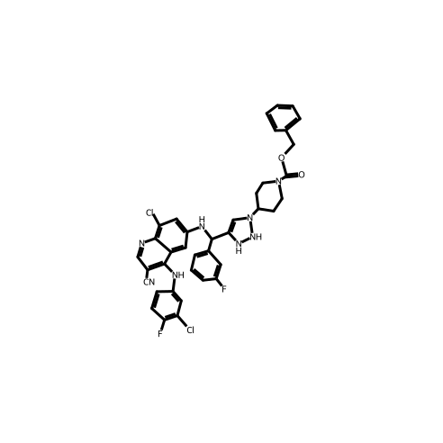 N#Cc1cnc2c(Cl)cc(NC(C3=CN(C4CCN(C(=O)OCc5ccccc5)CC4)NN3)c3cccc(F)c3)cc2c1Nc1ccc(F)c(Cl)c1